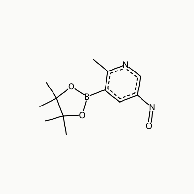 Cc1ncc(N=O)cc1B1OC(C)(C)C(C)(C)O1